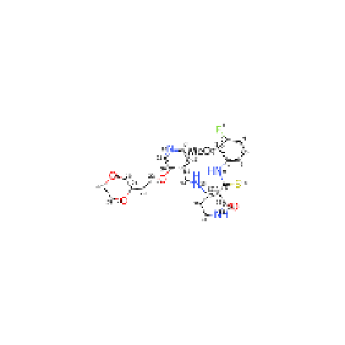 COc1c(F)cccc1NC(=S)C1=C(NCc2ccncc2OCCC2COCCO2)CCNC1=O